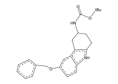 CC(C)(C)OC(=O)NC1CCc2[nH]c3ccc(OCc4ccccc4)cc3c2C1